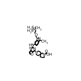 Cc1nn(COCC[Si](C)(C)C)c2cc(Nc3nc(N4CCC5(CCCN(C(=O)O)C5)CC4)c4occc4n3)ccc12